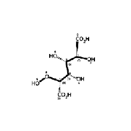 O=C(O)[C@@H](O)[C@@H](O)[C@H](O)[C@@H](OO)C(=O)O